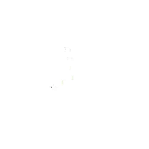 [Cs+].[Cs+].[Cs+].[F-].[F-].[F-]